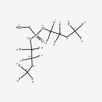 O=P(CO)(OC(F)(F)C(F)(F)CC(F)(F)F)OC(F)(F)C(F)(F)CC(F)(F)F